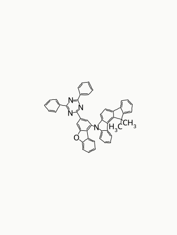 CC1(C)c2ccccc2-c2ccc3c(c21)c1ccccc1n3-c1cc(-c2nc(-c3ccccc3)nc(-c3ccccc3)n2)cc2oc3ccccc3c12